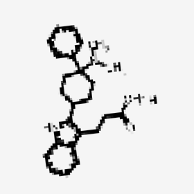 CN(C)C1(c2ccccc2)CCC(c2[nH]c3ccccc3c2CCC(=O)O)CC1.Cl